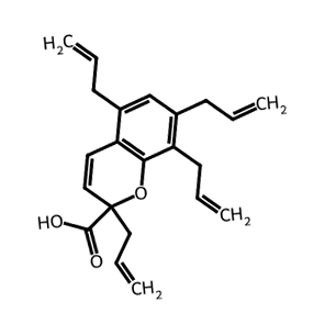 C=CCc1cc(CC=C)c(CC=C)c2c1C=CC(CC=C)(C(=O)O)O2